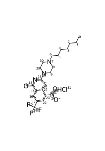 CCCCCCCN1CCN(c2nc(=O)c3cc(C(F)(F)F)cc([N+](=O)[O-])c3s2)CC1.Cl